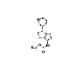 CC(C)(C)OC(=O)Nc1ccn2c1CSC2c1cccnc1